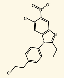 CCc1nc2cc([N+](=O)[O-])c(Cl)cc2n1-c1ccc(CCCl)cc1